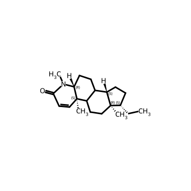 CC[C@H]1CC[C@H]2C3CC[C@H]4N(C)C(=O)C=C[C@]4(C)C3CC[C@]12C